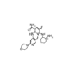 NC(=O)c1cc(F)c(NC2CCCC[C@@H]2N)nc1Nc1cc(N2CCOCC2)ncc1F